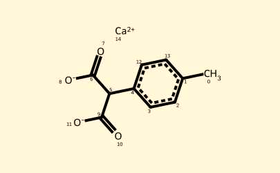 Cc1ccc(C(C(=O)[O-])C(=O)[O-])cc1.[Ca+2]